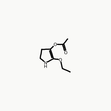 CCOC1=C(OC(C)=O)CCN1